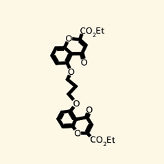 CCOC(=O)c1cc(=O)c2c(OCCCOc3cccc4oc(C(=O)OCC)cc(=O)c34)cccc2o1